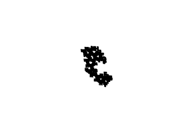 COc1ccc(-c2c(N)ncnc2N2CCC(c3nc(-c4ccc(F)c(C(F)(F)F)c4)cn3C)CC2)cc1